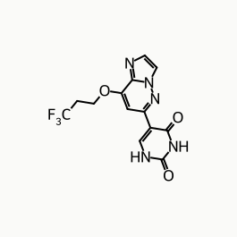 O=c1[nH]cc(-c2cc(OCCC(F)(F)F)c3nccn3n2)c(=O)[nH]1